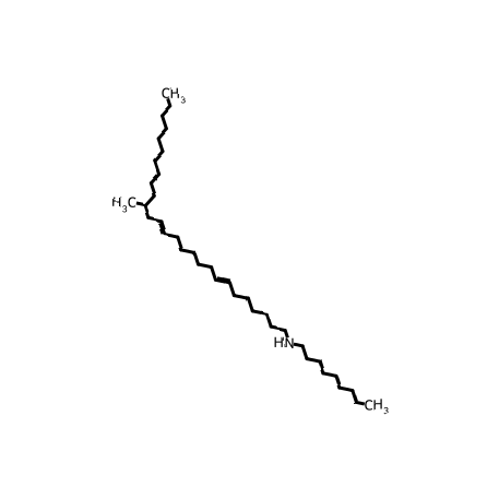 CCCCCCCCCCC(C)C/C=C/CCCCC/C=C/CCCCCCNCCCCCCCCC